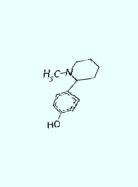 CN1CCCCC1c1ccc(O)cc1